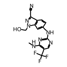 CNc1nc(Nc2ccc3c(C#N)nn(CO)c3c2)ncc1C(F)(F)F